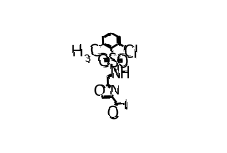 Cc1cccc(Cl)c1S(=O)(=O)NCc1nc(C(=O)I)co1